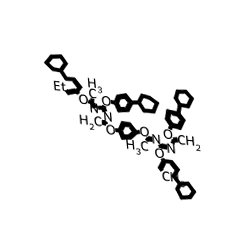 C=C(/N=C(\N=C(/C)Oc1ccc(OC(=C)/N=C(\N=C(/C)OC(/C=C\CC2CCCCC2)=C/CC)Oc2ccc(C3CCCCC3)cc2)cc1)OC(/C=C\CC1CCCCC1)=C/C)Oc1ccc(C2CCCCC2)cc1